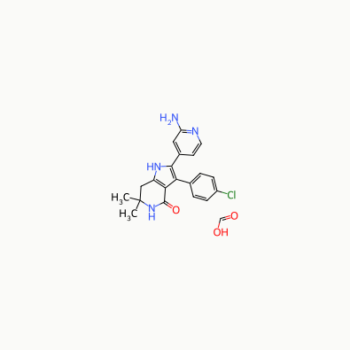 CC1(C)Cc2[nH]c(-c3ccnc(N)c3)c(-c3ccc(Cl)cc3)c2C(=O)N1.O=CO